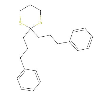 c1ccc(CCCC2(CCCc3ccccc3)SCCCS2)cc1